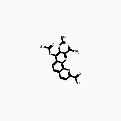 CC(C)(C)C(=O)Oc1c(C(N)=O)nc2c(ccc3ccc(C(N)=O)nc32)c1OC(=O)C(C)(C)C